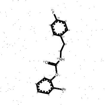 CC(C)c1ccccc1OC(=O)NCCc1ccc(F)cc1